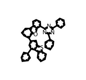 c1ccc(-c2nc(-c3ccccc3)nc(-c3cccc4c3oc3c(-c5cc(-c6ccccc6)c6c(c5)sc5ccccc56)cccc34)n2)cc1